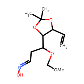 C=CC1OC(C)(C)OC1C(CC=NO)OCOC